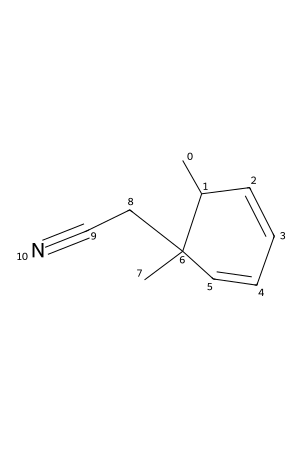 CC1C=CC=CC1(C)CC#N